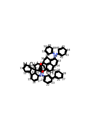 CC1CC2CC(C)C3(c4ccccc4C4=CC=CC(N(c5cccc(-c6ccccc6)c5)c5ccc6ccc7c(N(c8ccccc8)c8ccccc8)ccc8ccc5c6c87)C43)C(C1)C2